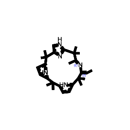 C/C=C1\N=C(/C)C(C)(C)c2nc(c[nH]2)C(C)(C)c2ccc([nH]2)C(C)(C)c2ccc([nH]2)C1(C)C